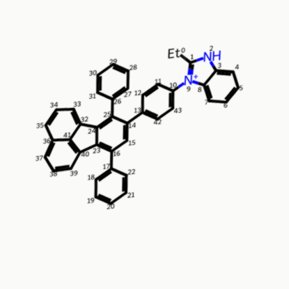 CCc1[nH]c2ccccc2[n+]1-c1ccc(-c2cc(-c3ccccc3)c3c(c2-c2ccccc2)-c2cccc4cccc-3c24)cc1